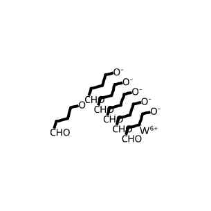 O=CCCC[O-].O=CCCC[O-].O=CCCC[O-].O=CCCC[O-].O=CCCC[O-].O=CCCC[O-].[W+6]